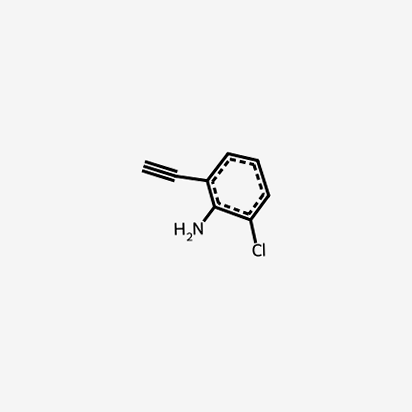 C#Cc1cccc(Cl)c1N